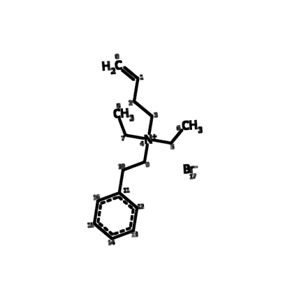 C=CCC[N+](CC)(CC)CCc1ccccc1.[Br-]